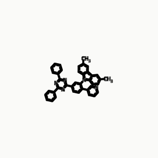 Cc1ccc2c(c1)c1cc(C)ccc1n2-c1cc(-c2nc(-c3ccccc3)nc(-c3ccccc3)n2)ccc1-c1cccnc1